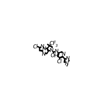 Cn1cnc(-c2ncc(NC(=O)N3C[C@@](C)(C(F)(F)F)c4c3cnc3cc(Cl)nn43)cc2Cl)c1